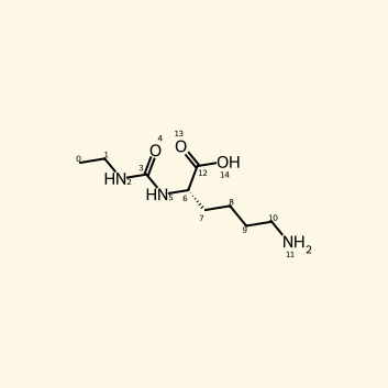 CCNC(=O)N[C@@H](CCCCN)C(=O)O